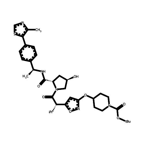 Cc1ncsc1-c1ccc([C@H](C)NC(=O)[C@@H]2C[C@@H](O)CN2C(=O)[C@H](c2cc(OC3CCN(C(=O)OC(C)(C)C)CC3)no2)C(C)C)cc1